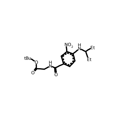 CCC(CC)Nc1ccc(C(=O)NCC(=O)OC(C)(C)C)cc1[N+](=O)[O-]